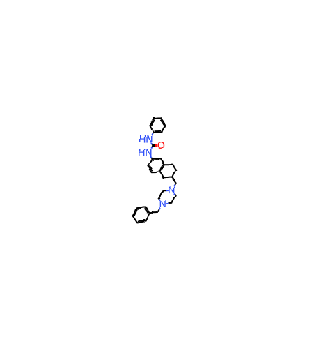 O=C(Nc1ccccc1)Nc1ccc2c(c1)CCC(CN1CCN(Cc3ccccc3)CC1)C2